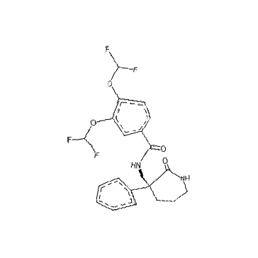 O=C(N[C@]1(c2ccccc2)CCCNC1=O)c1ccc(OC(F)F)c(OC(F)F)c1